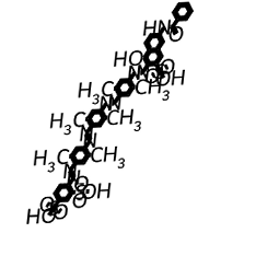 Cc1cc(N=Nc2cc(C)c(N=Nc3c(S(=O)(=O)O)cc4cc(NC(=O)c5ccccc5)ccc4c3O)cc2C)c(C)cc1N=Nc1cc(C)c(N=Nc2ccc(S(=O)(=O)O)cc2S(=O)(=O)O)cc1C